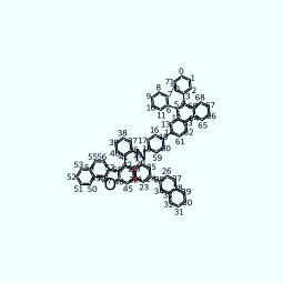 c1ccc(-c2c(-c3ccccc3)c3cc(-c4ccc(N(c5cccc(-c6ccc7ccccc7c6)c5)c5ccccc5-c5cccc6oc7c8ccccc8ccc7c56)cc4)ccc3c3ccccc23)cc1